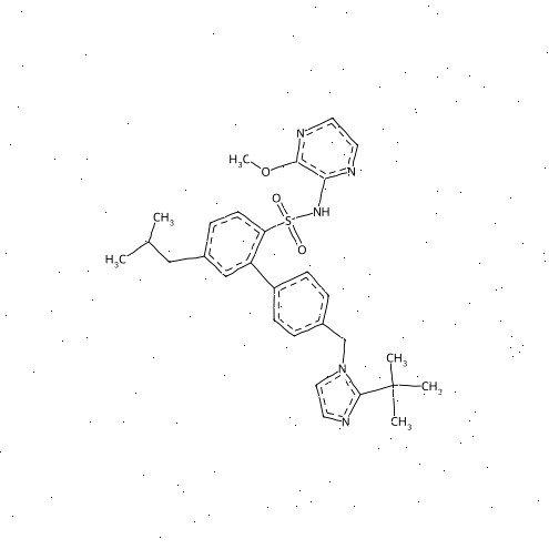 COc1nccnc1NS(=O)(=O)c1ccc(CC(C)C)cc1-c1ccc(Cn2ccnc2C(C)(C)C)cc1